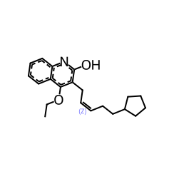 CCOc1c(C/C=C\CCC2CCCC2)c(O)nc2ccccc12